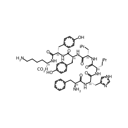 CC(C)C[C@H](NC(=O)[C@H](CC(C)C)NC(=O)[C@H](Cc1c[nH]cn1)NC(=O)[C@@H](N)Cc1ccccc1)C(=O)N[C@@H](Cc1ccc(O)cc1)C(=O)N[C@@H](Cc1ccc(O)cc1)C(=O)N[C@@H](CCCCN)C(=O)O